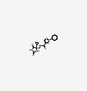 O=C1NC(=O)[C@](CNC(=O)c2cnn(-c3ccccc3)n2)(C2CC2)N1